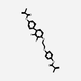 C=C(C)C(=O)Oc1ccc(OCCOc2ccc(-c3ccc(OC(=O)C(=C)C)cc3)c(F)c2F)cc1